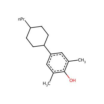 CCCC1CCC(c2cc(C)c(O)c(C)c2)CC1